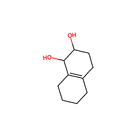 OC1CCC2=C(CCCC2)C1O